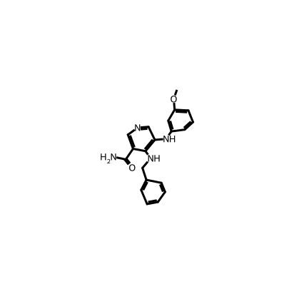 COc1cccc(Nc2cncc(C(N)=O)c2NCc2ccccc2)c1